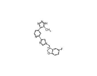 Cc1[nH]nnc1-c1ccnc(-c2cn(C[C@@H]3COc4ccc(F)cc43)cn2)c1